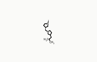 CC(C)CC1CCN(C[C@H]2CCN(I)C2)C1